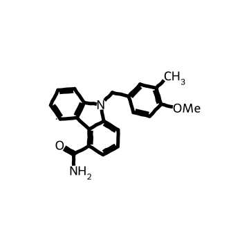 COc1ccc(Cn2c3ccc[c]c3c3c(C(N)=O)cccc32)cc1C